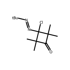 CC(C)(C)N=NC1(Cl)C(C)(C)C(=O)C1(C)C